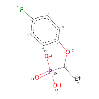 CCC(Oc1ccc(F)cc1)P(=O)(O)O